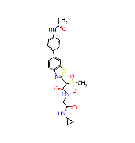 CC(=O)Nc1ccc(-c2ccc3nc(C(C(=O)NCC(=O)NC4CC4)S(C)(=O)=O)sc3c2)cc1